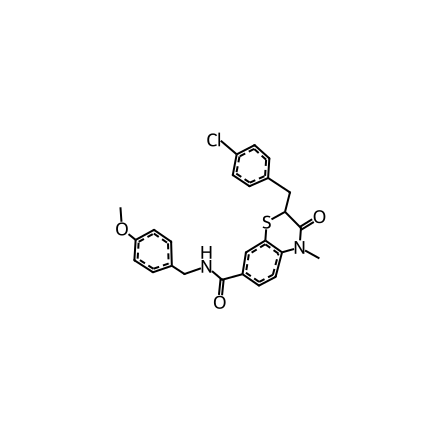 COc1ccc(CNC(=O)c2ccc3c(c2)SC(Cc2ccc(Cl)cc2)C(=O)N3C)cc1